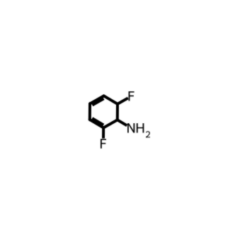 NC1C(F)=CC=CC1F